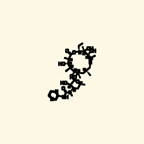 CC[C@H]1OC(=O)[C@H](C)[C@@H](O)[C@H](C)[C@@H](O[C@@H]2O[C@H](C)C[C@H](N(C)C(=O)Nc3cnccn3)[C@H]2O)[C@](C)(O)C[C@@H](C)CN[C@H](C)[C@@H](O)[C@]1(C)O